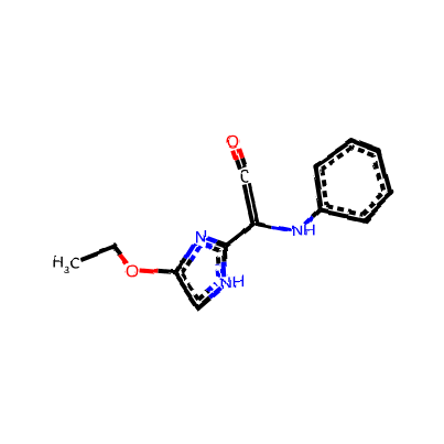 CCOc1c[nH]c(C(=C=O)Nc2ccccc2)n1